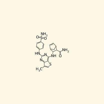 Cc1csc2c(NC3C4C=CC(C4)C3C(N)=O)nc(Nc3ccc(S(N)(=O)=O)cc3)nc12